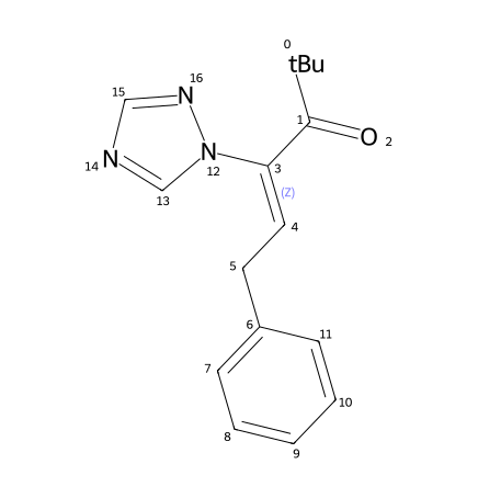 CC(C)(C)C(=O)/C(=C/Cc1ccccc1)n1cncn1